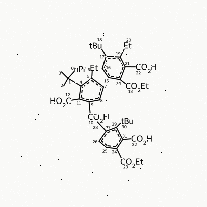 CCCC(C)(C)c1c(CC)ccc(C(=O)O)c1C(=O)O.CCOC(=O)c1ccc(C(C)(C)C)c(CC)c1C(=O)O.CCOC(=O)c1ccc(C)c(C(C)(C)C)c1C(=O)O